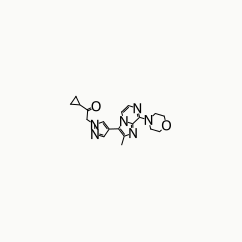 Cc1nc2c(N3CCOCC3)nccn2c1-c1cnn(CC(=O)C2CC2)c1